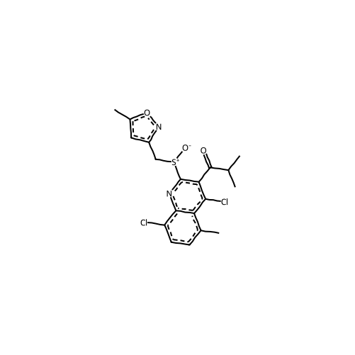 Cc1cc(C[S+]([O-])c2nc3c(Cl)ccc(C)c3c(Cl)c2C(=O)C(C)C)no1